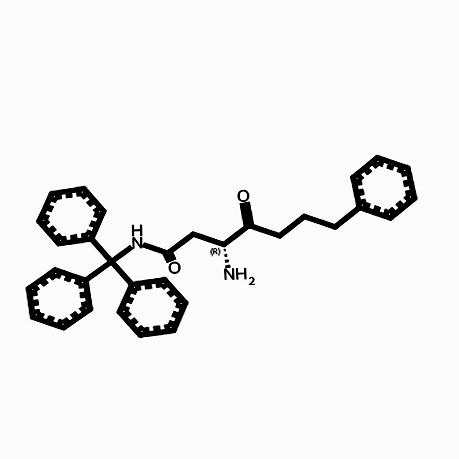 N[C@H](CC(=O)NC(c1ccccc1)(c1ccccc1)c1ccccc1)C(=O)CCCc1ccccc1